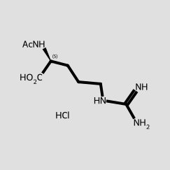 CC(=O)N[C@@H](CCCNC(=N)N)C(=O)O.Cl